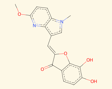 COc1ccc2c(n1)c(C=C1Oc3c(ccc(O)c3O)C1=O)cn2C